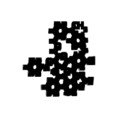 CCc1ccc(Cc2cc([C@@H]3O[C@H](COCc4ccccc4)[C@@H](OCc4ccccc4)[C@H](OCc4ccccc4)[C@H]3OCc3ccccc3)c(COCC(F)F)cc2Cl)cc1